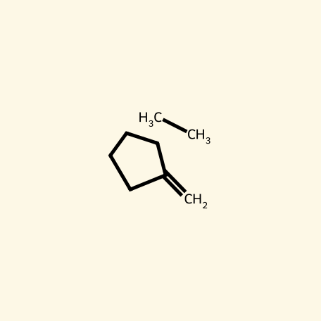 C=C1CCCC1.CC